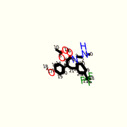 CNCCN1C(=O)[C@H](OC(C)=O)[C@H](c2ccc(OC)cc2)Cc2cc(C(F)(F)F)ccc21